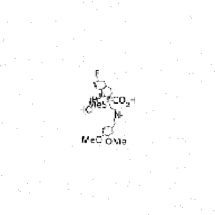 COc1ccc(CCN(C)CCC(SC)(C(=O)O)[C@@H]2CCc3cc(F)ccc3[C@@H]2C(C)C)cc1OC.Cl